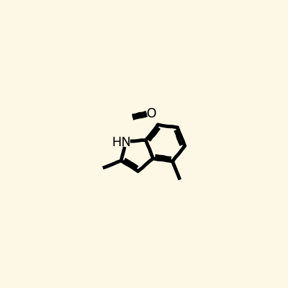 C=O.Cc1cc2c(C)cccc2[nH]1